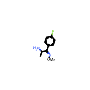 CON=C(c1ccc(F)cc1)C(C)N